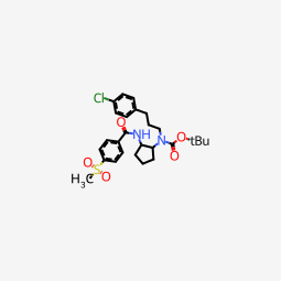 CC(C)(C)OC(=O)N(CCCc1ccc(Cl)cc1)C1CCCC1NC(=O)c1ccc(S(C)(=O)=O)cc1